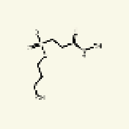 O=C(CCP(=O)(O)OCCCO)NO